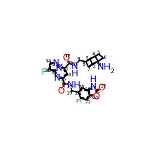 NC12C3C4C1C1C2C3C41CNC(=O)c1cc(C(=O)NCc2ccc3oc(=O)[nH]c3c2)nc2c(F)cnn12